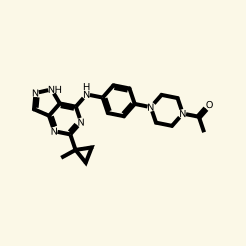 CC(=O)N1CCN(c2ccc(Nc3nc(C4(C)CC4)nc4cn[nH]c34)cc2)CC1